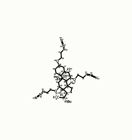 CCCC[C@H](C)[C@H]1CC[C@H]2[C@@H]3[C@H](OCCN=[N+]=[N-])C[C@@H]4C[C@H](OCCN=[N+]=[N-])CC[C@]4(C)[C@H]3C[C@H](OCCN=[N+]=[N-])[C@]12C